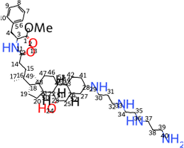 COC(=O)[C@H](Cc1ccccc1)NC(=O)CC[C@@H](C)[C@H]1CC[C@H]2[C@@H]3[C@H](O)C[C@@H]4C[C@@H](NCCCNCCNCCCN)CC[C@]4(C)[C@H]3CC[C@]12C